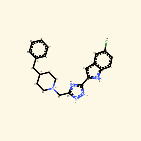 Clc1ccc2[nH]c(-c3nnc(CN4CCC(Cc5ccccc5)CC4)[nH]3)cc2c1